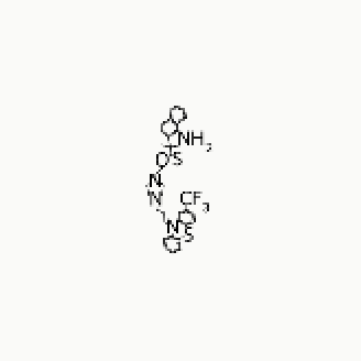 CC(CN)(C(=S)OCCN1CCN(CCCN2c3ccccc3Sc3ccc(C(F)(F)F)cc32)CC1)c1ccc2ccccc2c1